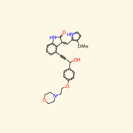 COc1cc[nH]c1/C=C1\C(=O)Nc2cccc(C#CC(O)c3ccc(OCCN4CCOCC4)cc3)c21